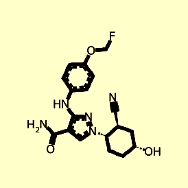 N#C[C@H]1C[C@H](O)CC[C@@H]1n1cc(C(N)=O)c(Nc2ccc(OCF)cc2)n1